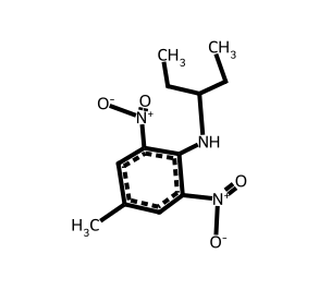 CCC(CC)Nc1c([N+](=O)[O-])cc(C)cc1[N+](=O)[O-]